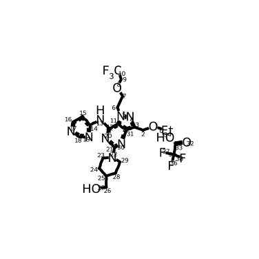 CCOCc1nn(CCOCC(F)(F)F)c2c(Nc3ccncn3)nc(N3CCC(CO)CC3)nc12.O=C(O)C(F)(F)F